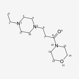 CCN1CCN(CCC(=O)N2CCOCC2)CC1